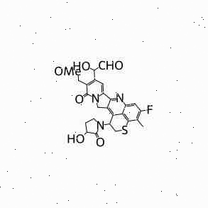 COCc1c(C(O)C=O)cc2n(c1=O)Cc1c-2nc2cc(F)c(C)c3c2c1C(N1CCC(O)C1=O)CS3